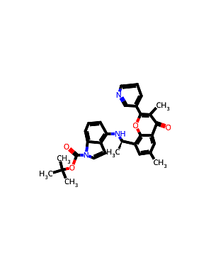 Cc1cc([C@@H](C)Nc2cccc3c2ccn3C(=O)OC(C)(C)C)c2oc(-c3cccnc3)c(C)c(=O)c2c1